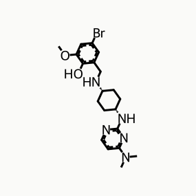 COc1cc(Br)cc(CN[C@H]2CC[C@@H](Nc3nccc(N(C)C)n3)CC2)c1O